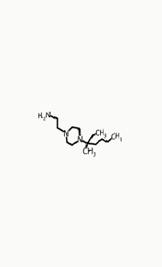 CCCCC(C)(CC)N1CCN(CCN)CC1